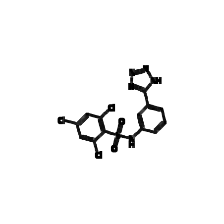 O=S(=O)(Nc1cccc(-c2nnn[nH]2)c1)c1c(Cl)cc(Cl)cc1Cl